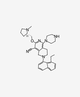 CCc1cccc2cccc(N3CCc4c(N5CCNCC5)nc(OC[C@@H]5CCCN5C)c(C#N)c4C3)c12